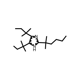 CCCCC(C)(C)c1nc(C(C)(C)CC)c(C(C)(C)CC)[nH]1